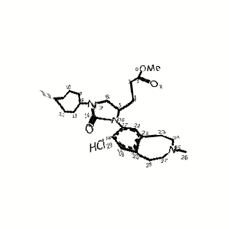 COC(=O)CCC1CN(C2CCCCC2)C(=O)N1c1ccc2c(c1)CCN(C)CC2.Cl